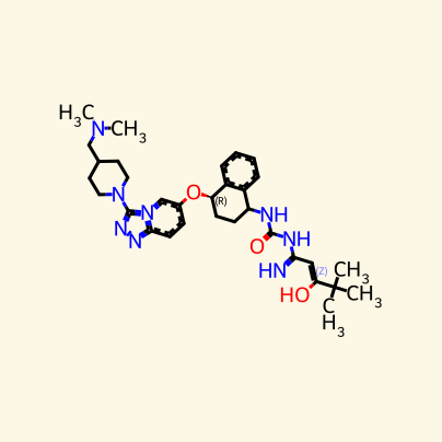 CN(C)CC1CCN(c2nnc3ccc(O[C@@H]4CCC(NC(=O)NC(=N)/C=C(\O)C(C)(C)C)c5ccccc54)cn23)CC1